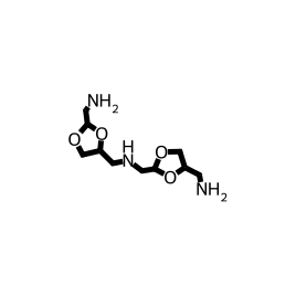 NCC1COC(CNCC2COC(CN)O2)O1